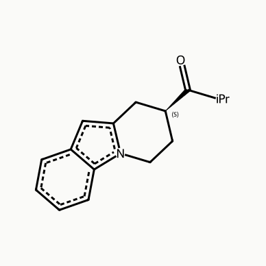 CC(C)C(=O)[C@H]1CCn2c(cc3ccccc32)C1